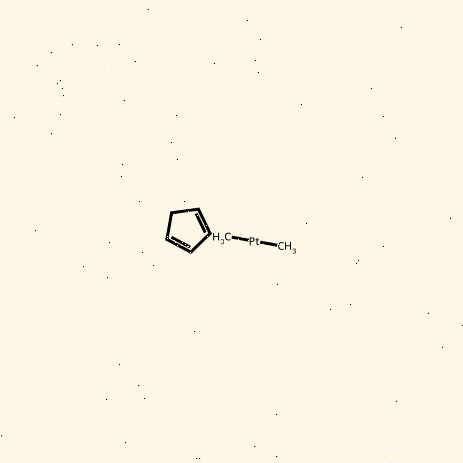 C1=CCC=C1.[CH3][Pt][CH3]